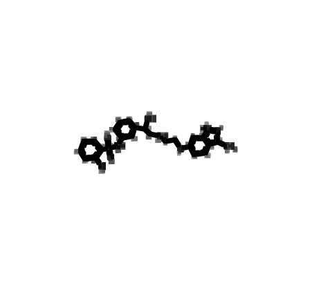 Cc1n[nH]c2cc(OCCNCC(O)c3cccc(NS(=O)(=O)c4ccccc4Cl)c3)ccc12